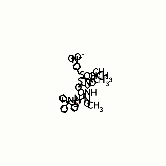 CON=C(C(=O)NC1CN2C1C(=O)SC(SCc1ccc([N+](=O)[O-])cc1)C2(O)C(=O)OC(C)(C)C)c1csc(NC(c2ccccc2)(c2ccccc2)c2ccccc2)n1